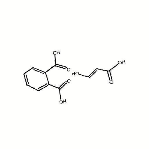 O=C(O)C=CO.O=C(O)c1ccccc1C(=O)O